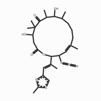 C/C1=C/C(N=[N+]=[N-])C(/C(C)=C/c2csc(C)n2)OC(=O)CC(O)C(C)(C)C(=O)C(C)C(O)C(C)CCC1